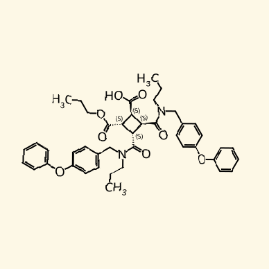 CCCOC(=O)[C@@H]1[C@@H](C(=O)O)[C@@H](C(=O)N(CCC)Cc2ccc(Oc3ccccc3)cc2)[C@@H]1C(=O)N(CCC)Cc1ccc(Oc2ccccc2)cc1